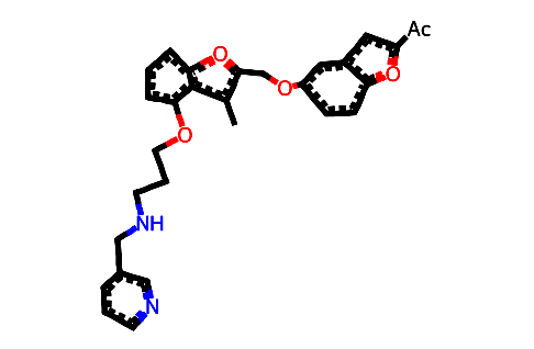 CC(=O)c1cc2cc(OCc3oc4cccc(OCCCNCc5cccnc5)c4c3C)ccc2o1